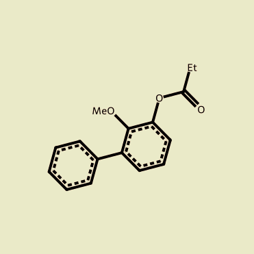 CCC(=O)Oc1cccc(-c2ccccc2)c1OC